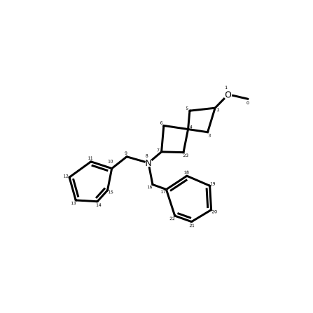 COC1CC2(C1)CC(N(Cc1ccccc1)Cc1ccccc1)C2